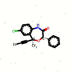 CCC#C[C@]1(C(F)(F)F)O[C@@H](c2ccccc2)C(=O)Nc2ccc(Cl)cc21